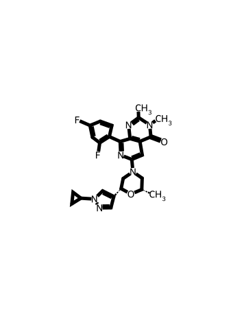 Cc1nc2c(-c3ccc(F)cc3F)nc(N3C[C@@H](c4cnn(C5CC5)c4)O[C@@H](C)C3)cc2c(=O)n1C